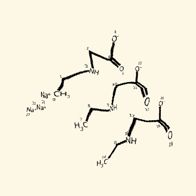 CCNCC(=O)[O-].CCNCC(=O)[O-].CCNCC(=O)[O-].[Na+].[Na+].[Na+]